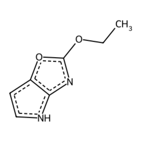 CCOc1nc2[nH]ccc2o1